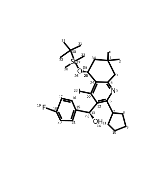 CC1(C)Cc2nc(C3CCCC3)c([C@@H](O)c3ccc(F)cc3)c(I)c2[C@@H](O[Si](C)(C)C(C)(C)C)C1